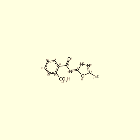 CCC1=N[N]C(=NC(=O)c2ccccc2C(=O)O)O1